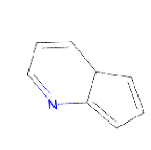 C1=CC2C=CC=C2N=C1